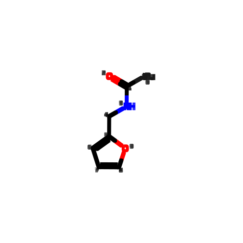 CC(C)(C)C(=O)NCc1ccco1